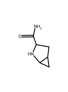 NC(=O)C1CC2CC2N1